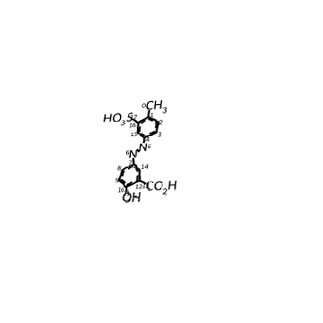 Cc1ccc(N=Nc2ccc(O)c(C(=O)O)c2)cc1S(=O)(=O)O